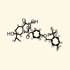 CC(C)C1(O)CCC(C(=O)NO)N(S(=O)(=O)c2ccc(OCc3cc(F)ccc3C(F)(F)F)cc2)C1